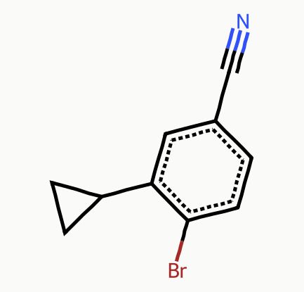 N#Cc1ccc(Br)c(C2CC2)c1